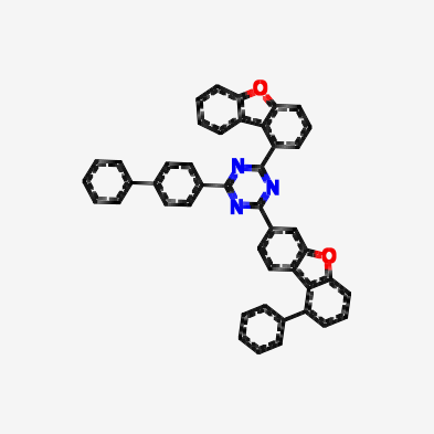 c1ccc(-c2ccc(-c3nc(-c4ccc5c(c4)oc4cccc(-c6ccccc6)c45)nc(-c4cccc5oc6ccccc6c45)n3)cc2)cc1